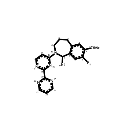 CCC1c2cc(F)c(OC)cc2CCCN1c1ccnc(-c2ncccn2)n1